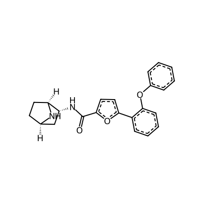 O=C(N[C@@H]1C[C@H]2CC[C@@H]1N2)c1ccc(-c2ccccc2Oc2ccccc2)o1